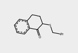 CC(C)CSC1CCc2ccccc2C1=O